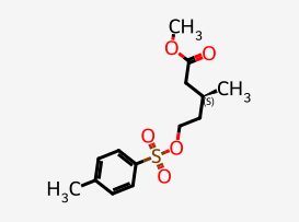 COC(=O)C[C@@H](C)CCOS(=O)(=O)c1ccc(C)cc1